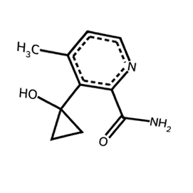 Cc1ccnc(C(N)=O)c1C1(O)CC1